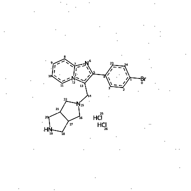 Brc1ccc(-c2nc3ccccn3c2CN2CC3CNCC3C2)cc1.Cl.Cl